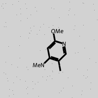 CNc1cc(OC)ncc1C